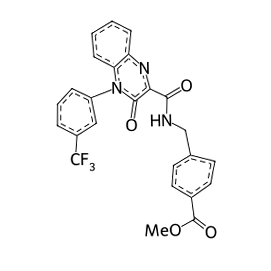 COC(=O)c1ccc(CNC(=O)c2nc3ccccc3n(-c3cccc(C(F)(F)F)c3)c2=O)cc1